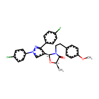 COc1ccc(CCN2C(=O)[C@@H](C)O[C@H]2c2cn(-c3ccc(F)cc3)nc2-c2ccc(F)cc2)cc1